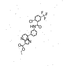 CCOC(=O)c1cnn2c(-c3cccc(NC(=O)c4cc(C(F)(F)F)ccc4Cl)c3)ccnc12